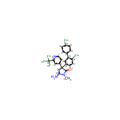 CN1C(=O)C(c2ccnc(C(F)(F)F)c2)(c2ccc(F)c(-c3ccc(F)cc3)c2)N=C1N